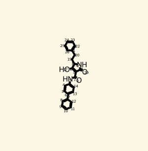 O=C(Nc1ccc(-c2ccccc2)cc1)C1=C(O)C(CCc2ccccc2)NC1=O